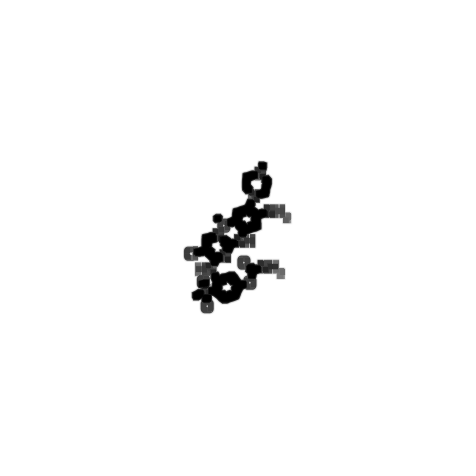 COc1cc(N2CCN(C)CC2)c(N)cc1Nc1ncc(Cl)c(Nc2cc(OC(N)=O)ccc2S(C)(=O)=O)n1